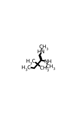 CCC(C)(C)/C(=C/NC)NC